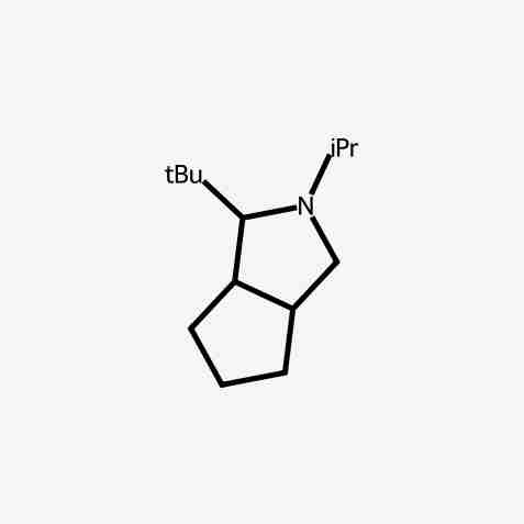 CC(C)N1CC2CCCC2C1C(C)(C)C